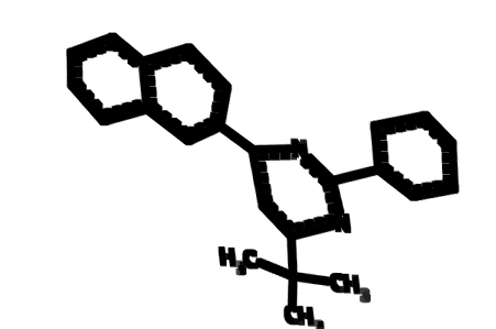 CC(C)(C)c1cc(-c2ccc3ccccc3c2)nc(-c2ccccc2)n1